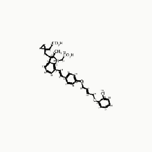 Cc1c(CC2(CC(=O)O)CC2)c2cccc(C=Cc3ccc(OCC=CCOc4ccccc4Cl)cc3)c2n1CC(=O)O